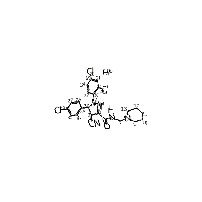 I.N#CC1C(C(=O)NCN2CCCCC2)=NN(c2ccc(Cl)cc2Cl)C1c1ccc(Cl)cc1